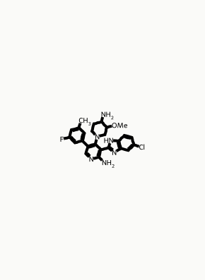 COC1CN(c2c(-c3cc(C)cc(F)c3)cnc(N)c2-c2nc3cc(Cl)ccc3[nH]2)CCC1N